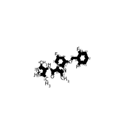 Cc1n[nH]c(C)c1NC(=O)c1c(C)nc2c(OCc3c(F)cccc3F)cc(F)cn12